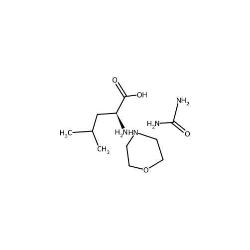 C1COCCN1.CC(C)C[C@H](N)C(=O)O.NC(N)=O